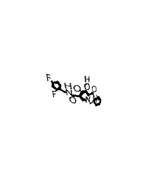 O=C(NCc1ccc(F)cc1F)c1cn2c(c(O)c1=O)C(=O)N1CC3C=C[C@]1(C3)C2